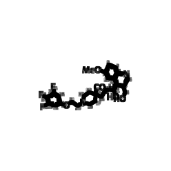 COc1ccc2ncc(CO)c(C(O)CCC3(C(=O)O)CCN(CCOc4cc(F)c(F)c(F)c4)CC3)c2c1